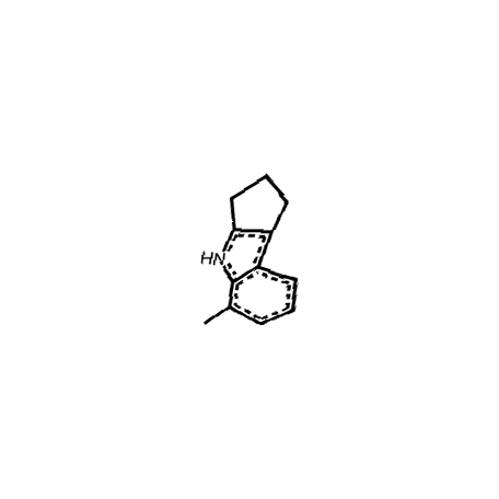 Cc1cccc2c3c([nH]c12)CCC3